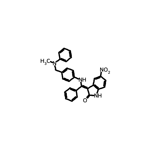 CN(Cc1ccc(NC(=C2C(=O)Nc3ccc([N+](=O)[O-])cc32)c2ccccc2)cc1)c1ccccc1